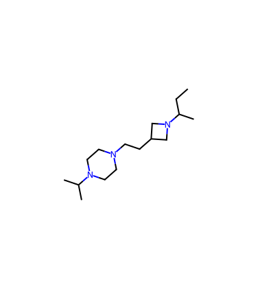 CCC(C)N1CC(CCN2CCN(C(C)C)CC2)C1